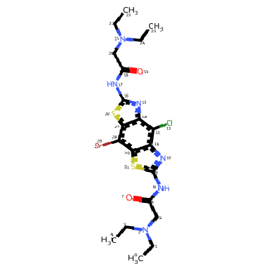 CCN(CC)CC(=O)Nc1nc2c(Cl)c3nc(NC(=O)CN(CC)CC)sc3c(Br)c2s1